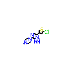 CN1CCN(c2ncc(-c3csc(Cl)c3)n3cnnc23)CC1